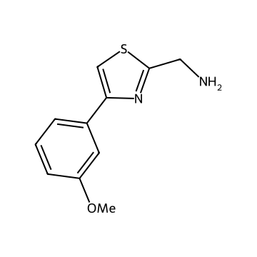 COc1cccc(-c2csc(CN)n2)c1